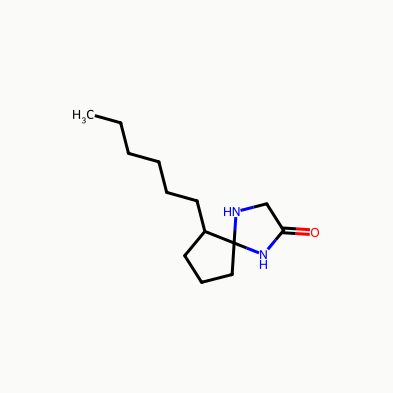 CCCCCCC1CCCC12NCC(=O)N2